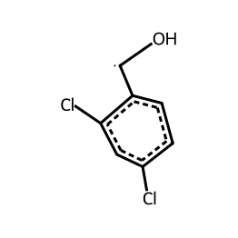 O[CH]c1ccc(Cl)cc1Cl